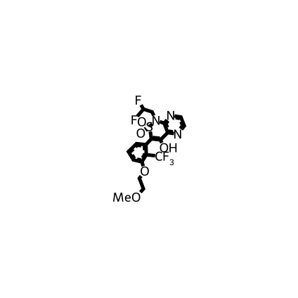 COCCOc1cccc(C2=C(O)c3nccnc3N(CC(F)F)S2(=O)=O)c1C(F)(F)F